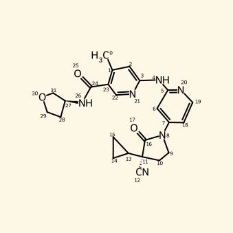 Cc1cc(Nc2cc(N3CC[C@@](C#N)(C4CC4)C3=O)ccn2)ncc1C(=O)N[C@H]1CCOC1